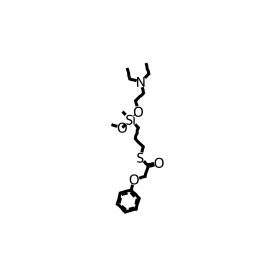 CCN(CC)CCO[Si](C)(CCCSC(=O)COc1ccccc1)OC